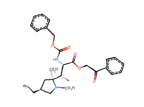 C[C@@H]([C@H](NC(=O)OCc1ccccc1)C(=O)OCC(=O)c1ccccc1)[C@]1(C(=O)O)C[C@H](CC(C)(C)C)CN1C(=O)O